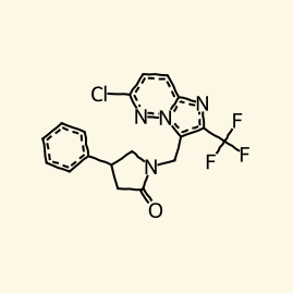 O=C1CC(c2ccccc2)CN1Cc1c(C(F)(F)F)nc2ccc(Cl)nn12